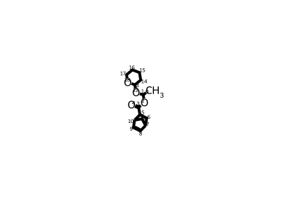 CC(OC(=O)C1CC2C=CC1C2)OC1CCCCO1